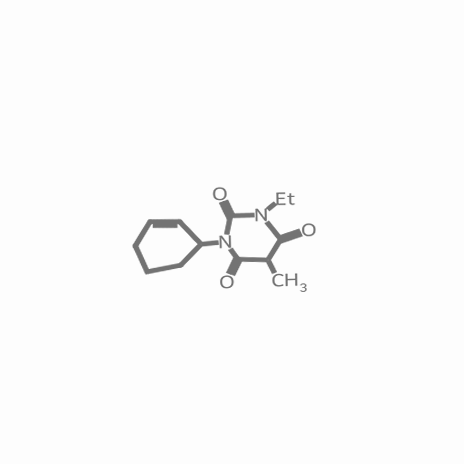 CCN1C(=O)C(C)C(=O)N(C2C=CCCC2)C1=O